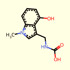 Cn1cc(CNC(=O)O)c2c(O)cccc21